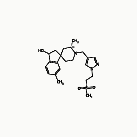 Cc1ccc2c(c1)C1(CCN(Cc3cnn(CCS(C)(=O)=O)c3)[C@@H](C)C1)CC2O